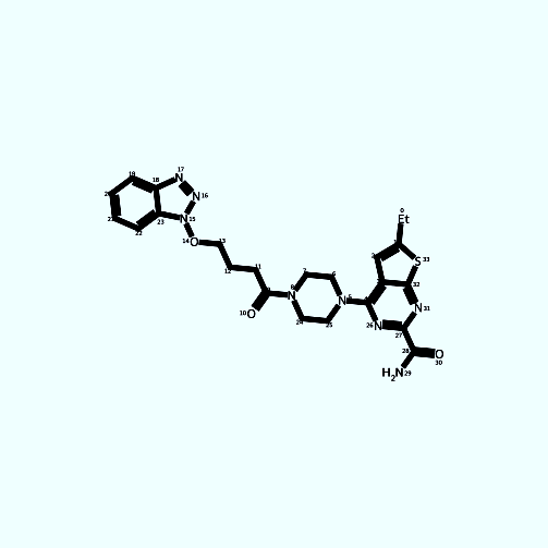 CCc1cc2c(N3CCN(C(=O)CCCOn4nnc5ccccc54)CC3)nc(C(N)=O)nc2s1